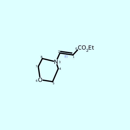 CCOC(=O)/C=C/N1CCOCC1